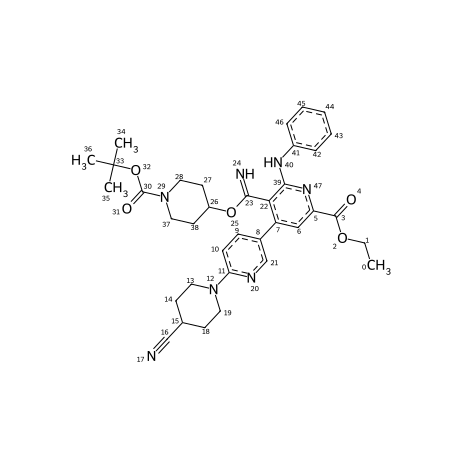 CCOC(=O)c1cc(-c2ccc(N3CCC(C#N)CC3)nc2)c(C(=N)OC2CCN(C(=O)OC(C)(C)C)CC2)c(Nc2ccccc2)n1